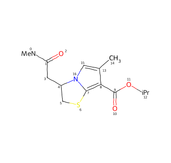 CNC(=O)CC1CSc2c(C(=O)OC(C)C)c(C)cn21